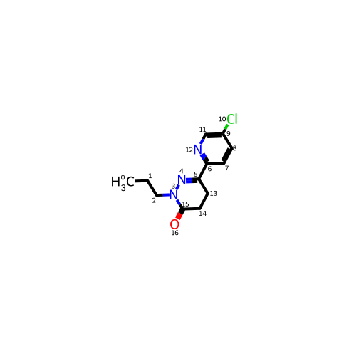 CCCN1N=C(c2ccc(Cl)cn2)CCC1=O